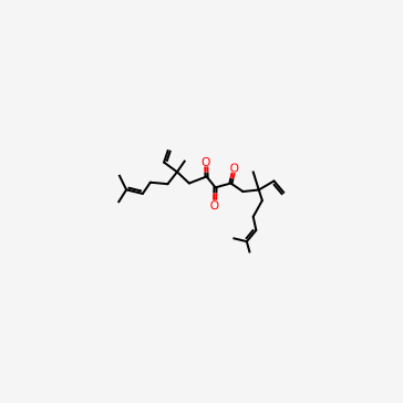 C=CC(C)(CCC=C(C)C)CC(=O)C(=O)C(=O)CC(C)(C=C)CCC=C(C)C